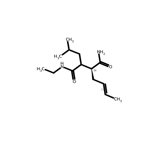 C/C=C/C[C@H](C(N)=O)C(CC(C)C)C(=O)NCC